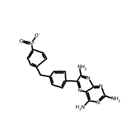 Nc1nc(N)c2nc(-c3ccc(Cc4ccc([N+](=O)[O-])cc4)cc3)c(N)nc2n1